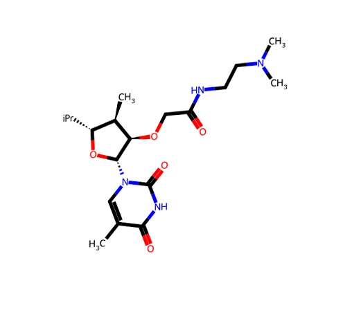 Cc1cn([C@@H]2O[C@H](C(C)C)[C@@H](C)[C@H]2OCC(=O)NCCN(C)C)c(=O)[nH]c1=O